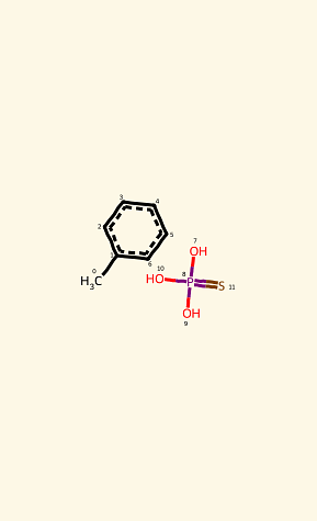 Cc1ccccc1.OP(O)(O)=S